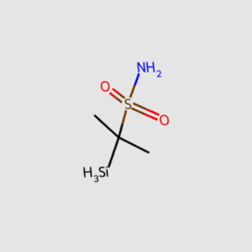 CC(C)([SiH3])S(N)(=O)=O